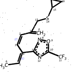 C=C(/C=C\C(=C/C)c1noc(C(F)(F)F)n1)CSC1CC1